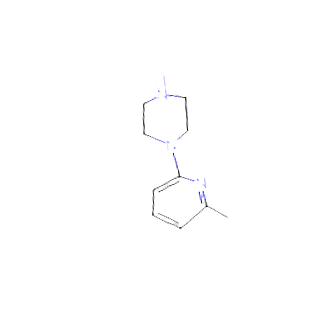 [CH2]c1cccc(N2CCNCC2)n1